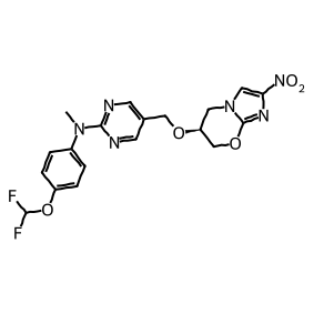 CN(c1ccc(OC(F)F)cc1)c1ncc(CO[C@@H]2COc3nc([N+](=O)[O-])cn3C2)cn1